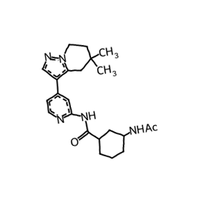 CC(=O)NC1CCCC(C(=O)Nc2cc(-c3cnn4c3CC(C)(C)CC4)ccn2)C1